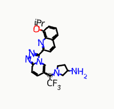 CC(C)Oc1cccc2ccc(-c3nnc4ccc([C@@H](N5CCC(N)C5)C(F)(F)F)cn34)nc12